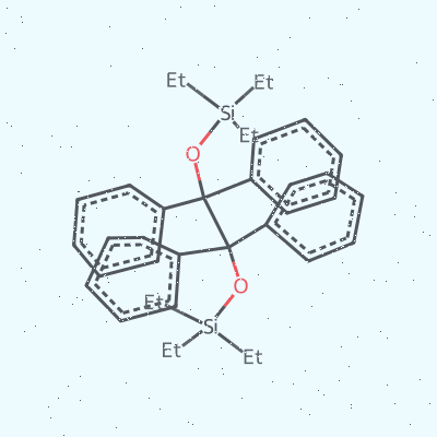 CC[Si](CC)(CC)OC(c1ccccc1)(c1ccccc1)C(O[Si](CC)(CC)CC)(c1ccccc1)c1ccccc1